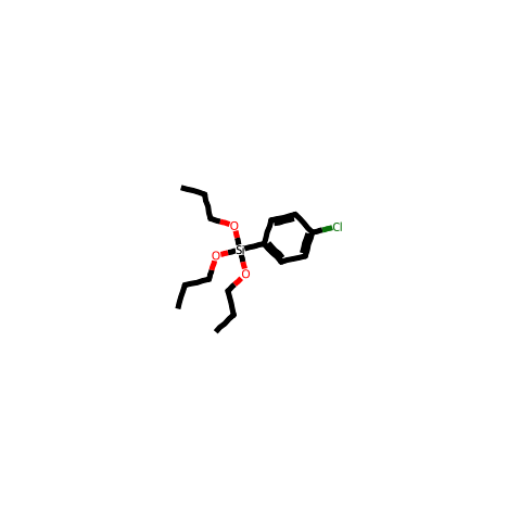 CCCO[Si](OCCC)(OCCC)c1ccc(Cl)cc1